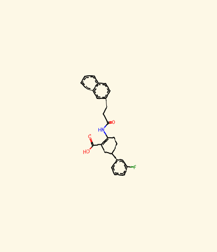 O=C(CCc1ccc2ccccc2c1)NC1=C(C(=O)O)CC(c2cccc(F)c2)CC1